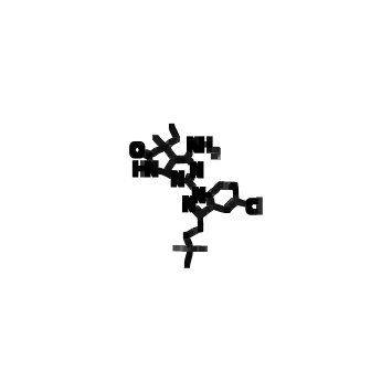 CCC1(C)C(=O)Nc2nc(-n3nc(CCC(C)(C)C)c4cc(Cl)ccc43)nc(N)c21